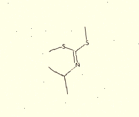 CSC(=NC(C)C)SC